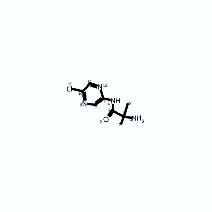 CC(C)(N)C(=O)Nc1cnc(Cl)cn1